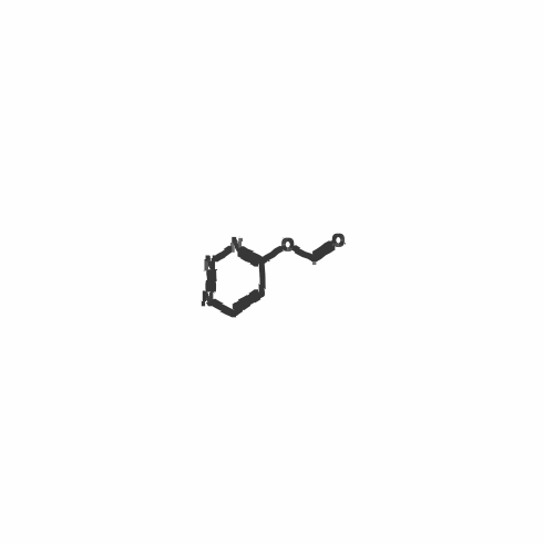 O=[C]Oc1ccnnn1